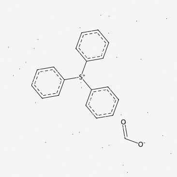 O=C[O-].c1ccc([S+](c2ccccc2)c2ccccc2)cc1